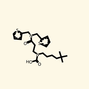 CC(C)(C)CCCCN(CCC(=O)N(Cc1cccs1)Cc1cccs1)C(=O)O